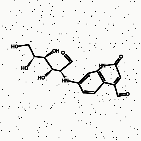 O=Cc1cc(=O)[nH]c2cc(N[C@@H](C=O)[C@@H](O)[C@H](O)[C@H](O)CO)ccc12